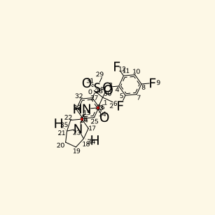 CC(C)(Oc1c(F)cc(F)cc1F)C(=O)N[C@H]1C[C@H]2CC[C@@H](C1)N2c1ccc(S(C)(=O)=O)cc1